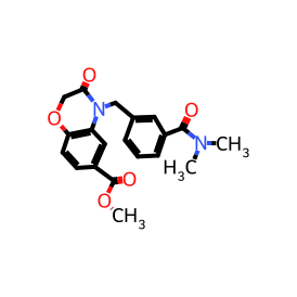 COC(=O)c1ccc2c(c1)N(Cc1cccc(C(=O)N(C)C)c1)C(=O)CO2